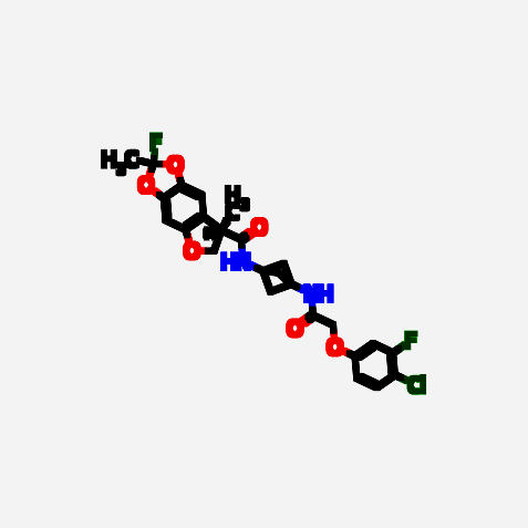 CC1(F)Oc2cc3c(cc2O1)[C@](C)(C(=O)NC12CC(NC(=O)COc4ccc(Cl)c(F)c4)(C1)C2)CO3